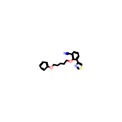 N#Cc1cccc(-c2cscn2)c1OCCCCCOc1ccccc1